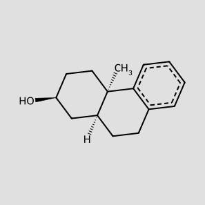 C[C@@]12CC[C@H](O)C[C@@H]1CCc1ccccc12